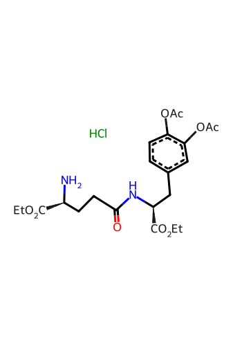 CCOC(=O)[C@H](Cc1ccc(OC(C)=O)c(OC(C)=O)c1)NC(=O)CC[C@H](N)C(=O)OCC.Cl